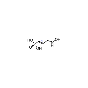 O=P(O)(O)/C=C/CNO